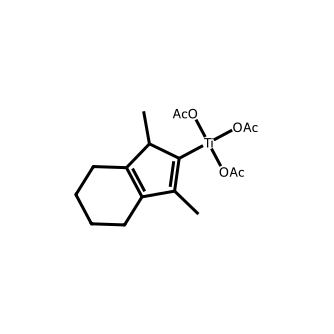 CC(=O)[O][Ti]([O]C(C)=O)([O]C(C)=O)[C]1=C(C)C2=C(CCCC2)C1C